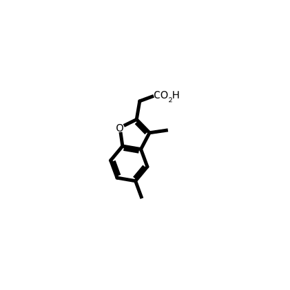 Cc1ccc2oc(CC(=O)O)c(C)c2c1